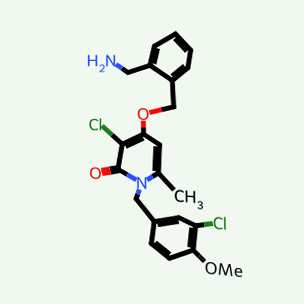 COc1ccc(Cn2c(C)cc(OCc3ccccc3CN)c(Cl)c2=O)cc1Cl